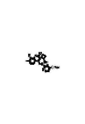 COc1ccnc2c1nc(C1CCC1)n2Cc1cc(=O)[nH]c2c(F)c(F)ccc12